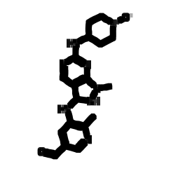 Cc1ncc(C=O)cc1NC1NN(C)c2nc(NC3CC[S+]([O-])CC3)ncc21